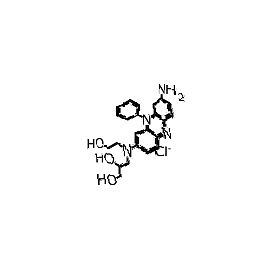 Nc1ccc2nc3ccc(N(CCO)CC(O)CO)cc3[n+](-c3ccccc3)c2c1.[Cl-]